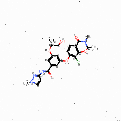 CCN1C(=O)c2ccc(Oc3cc(O[C@@H](C)CO)cc(C(=O)Nc4ccn(C)n4)c3)c(Cl)c2OC1C